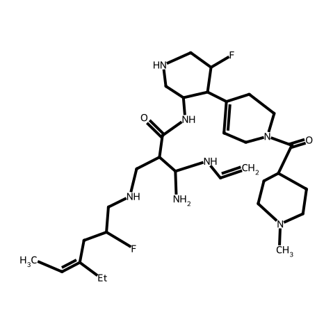 C=CNC(N)C(CNCC(F)C/C(=C\C)CC)C(=O)NC1CNCC(F)C1C1=CCN(C(=O)C2CCN(C)CC2)CC1